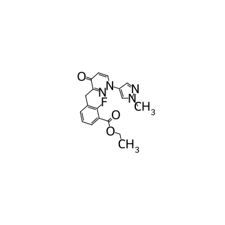 CCOC(=O)c1cccc(Cc2nn(-c3cnn(C)c3)ccc2=O)c1F